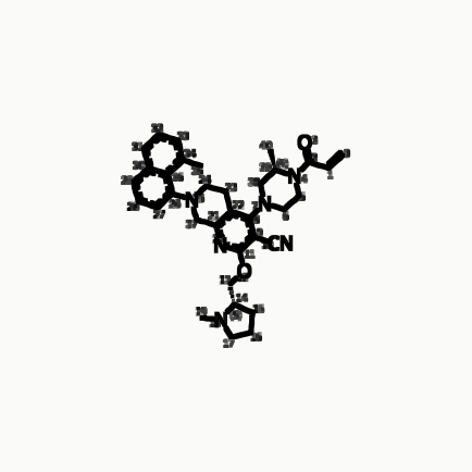 C=CC(=O)N1CCN(c2c(C#N)c(OC[C@@H]3CCCN3C)nc3c2CCN(c2cccc4cccc(C)c24)C3)C[C@H]1C